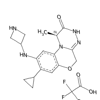 C[C@H]1C(=O)NN=C2COc3cc(C4CC4)c(NC4CNC4)cc3N21.O=C(O)C(F)(F)F